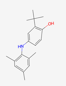 Cc1cc(C)c(Nc2ccc(O)c(C(C)(C)C)c2)c(C)c1